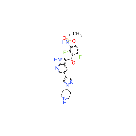 CCS(=O)(=O)Nc1ccc(F)c(C(=O)c2c[nH]c3ncc(-c4cnn(C5CCNCC5)c4)cc23)c1F